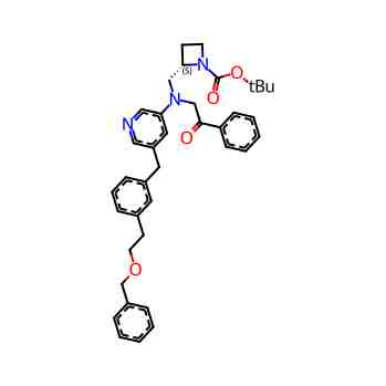 CC(C)(C)OC(=O)N1CC[C@H]1CN(CC(=O)c1ccccc1)c1cncc(Cc2cccc(CCOCc3ccccc3)c2)c1